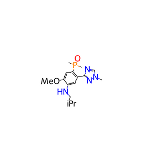 COc1cc(P(C)(C)=O)c(-c2ncn(C)n2)cc1NCC(C)C